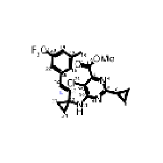 COC(=O)c1nc(C2CC2)nc(NC2(/C=C/c3cc(C)cc(C(F)(F)F)c3)CC2)c1Cl